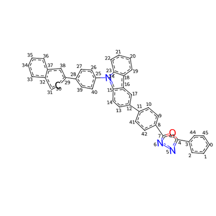 c1ccc(-c2nnc(-c3ccc(-c4ccc5c(c4)c4ccccc4n5-c4ccc(-c5ccc6ccccc6c5)cc4)cc3)o2)cc1